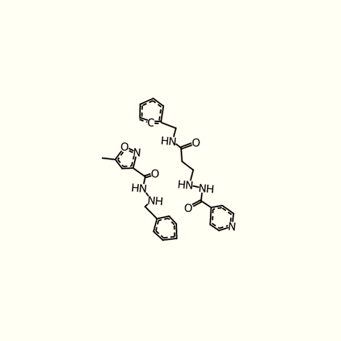 Cc1cc(C(=O)NNCc2ccccc2)no1.O=C(CCNNC(=O)c1ccncc1)NCc1ccccc1